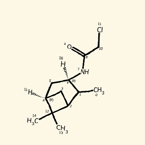 CC1C2C[C@H](C[C@H]1NC(=O)CCl)C2(C)C